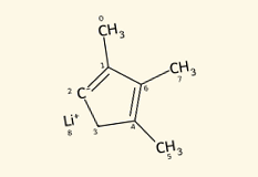 CC1=[C-]CC(C)=C1C.[Li+]